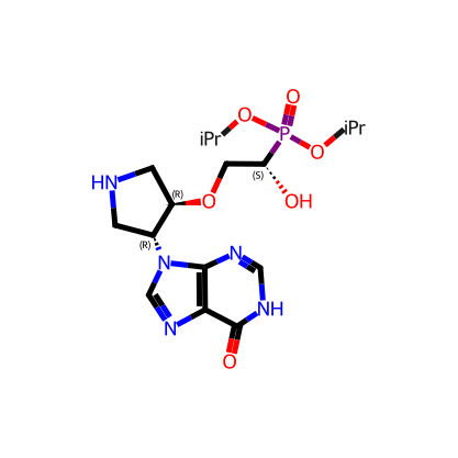 CC(C)OP(=O)(OC(C)C)[C@H](O)CO[C@@H]1CNC[C@H]1n1cnc2c(=O)[nH]cnc21